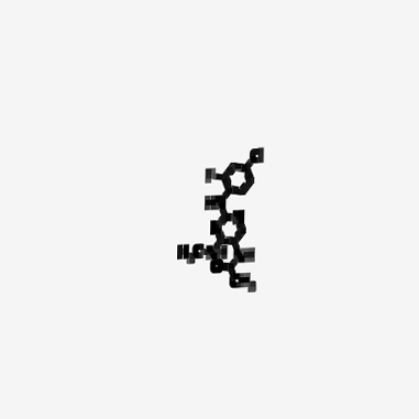 CNc1nc(Nc2ccc(Cl)cc2F)ncc1NC(C)=O